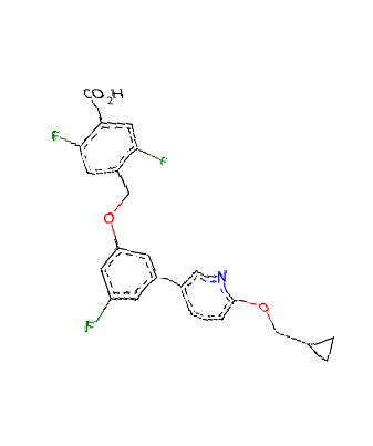 O=C(O)c1cc(F)c(COc2cc(F)cc(-c3ccc(OCC4CC4)nc3)c2)cc1F